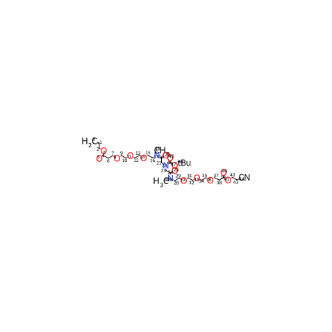 C=CCOC(=O)CCOCCOCCOCCN(C)C(=O)CN(CC(=O)N(C)CCOCCOCCOCCC(=O)OCCC#N)C(=O)OC(C)(C)C